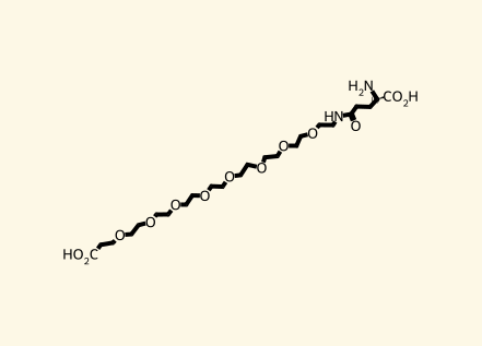 N[C@@H](CCC(=O)NCCOCCOCCOCCOCCOCCOCCOCCOCCC(=O)O)C(=O)O